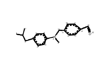 CC(C)Cc1ccc(N(C)Cc2ccc(C=O)cc2)cc1